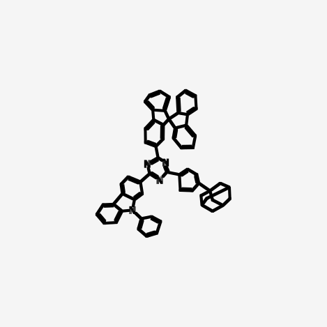 c1ccc(-n2c3ccccc3c3ccc(-c4nc(-c5ccc(C67CC8CC(CC(C8)C6)C7)cc5)nc(-c5ccc6c(c5)C5(c7ccccc7-c7ccccc75)c5ccccc5-6)n4)cc32)cc1